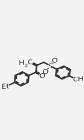 C=C(CS(=O)(=O)c1ccc(C)cc1)C(=O)c1ccc(CC)cc1